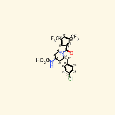 O=C(O)N[C@H]1CCN(C(=O)c2cc(C(F)(F)F)cc(C(F)(F)F)c2)[C@H](Cc2ccc(Cl)cc2)C1